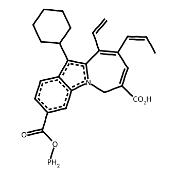 C=CC1=C(/C=C\C)C=C(C(=O)O)Cn2c1c(C1CCCCC1)c1ccc(C(=O)OP)cc12